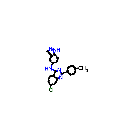 Cc1ccc(-c2nc(Nc3ccc4[nH]ncc4c3)c3ccc(Cl)cc3n2)cc1